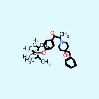 CC(C(=O)c1ccc(O[Si](C(C)C)(C(C)C)C(C)C)cc1)N1CCC(O)(Cc2ccccc2)CC1